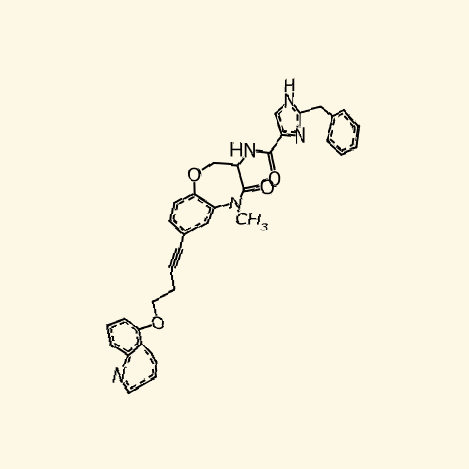 CN1C(=O)C(NC(=O)c2c[nH]c(Cc3ccccc3)n2)COc2ccc(C#CCCOc3cccc4ncccc34)cc21